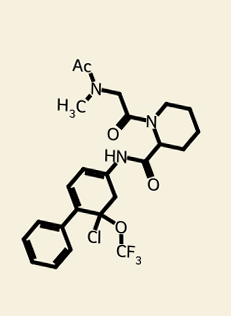 CC(=O)N(C)CC(=O)N1CCCCC1C(=O)NC1=CC=C(c2ccccc2)C(Cl)(OC(F)(F)F)C1